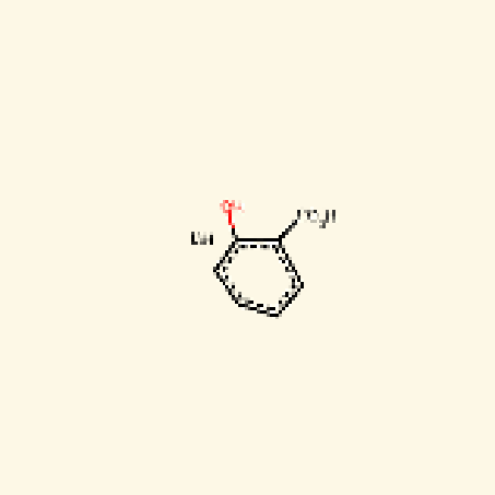 O=C(O)c1ccccc1O.[LiH]